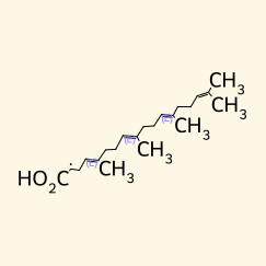 CC(C)=CCC/C(C)=C/CC/C(C)=C/CC/C(C)=C/C[CH]C(=O)O